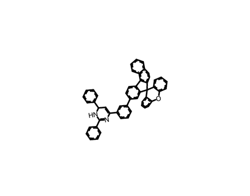 C1=C(c2cccc(-c3ccc4c(c3)C3(c5ccccc5Oc5ccccc53)c3ccc5ccccc5c3-4)c2)N=C(c2ccccc2)NC1c1ccccc1